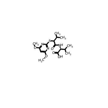 COc1cc(OC)nc(SC(C(=O)N[C@H](C(=O)O)C(C)C)C(C)C)n1